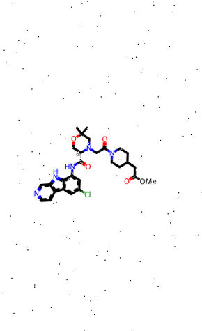 COC(=O)CC1CCN(C(=O)CN2CC(C)(C)OC[C@H]2C(=O)Nc2cc(Cl)cc3c2[nH]c2cnccc23)CC1